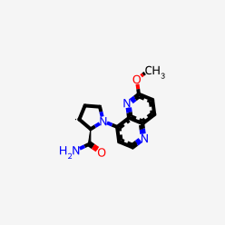 COc1ccc2nccc(N3CC[CH][C@@H]3C(N)=O)c2n1